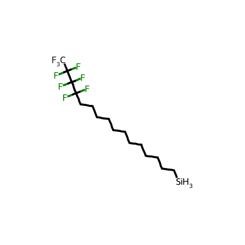 FC(F)(F)C(F)(F)C(F)(F)C(F)(F)CCCCCCCCCCCC[SiH3]